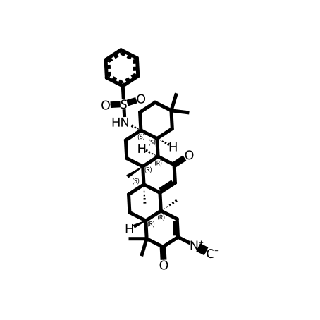 [C-]#[N+]C1=C[C@]2(C)C3=CC(=O)[C@@H]4[C@@H]5CC(C)(C)CC[C@]5(NS(=O)(=O)c5ccccc5)CC[C@@]4(C)[C@]3(C)CC[C@H]2C(C)(C)C1=O